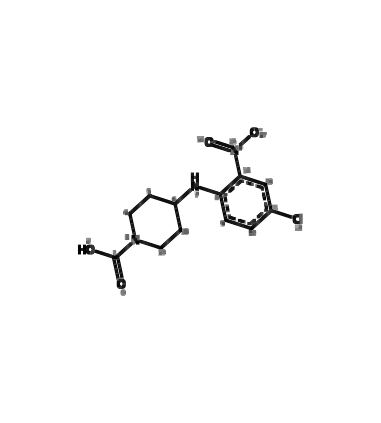 O=C(O)N1CCC(Nc2ccc(Cl)cc2[N+](=O)[O-])CC1